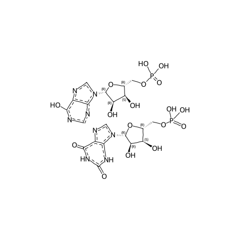 O=P(O)(O)OC[C@H]1O[C@@H](n2cnc3c(O)ncnc32)[C@H](O)[C@@H]1O.O=c1[nH]c(=O)c2ncn([C@@H]3O[C@H](COP(=O)(O)O)[C@@H](O)[C@H]3O)c2[nH]1